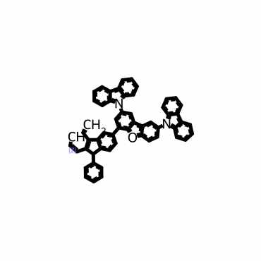 C=CC1=C(/C=C\C)C(c2ccccc2)c2ccc(-c3cc(-n4c5ccccc5c5ccccc54)cc4c3oc3ccc(-n5c6ccccc6c6ccccc65)cc34)cc21